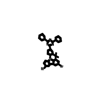 CC1(C)c2cc(-c3nc(-c4ccccc4)nc(-c4ccccc4)n3)ccc2-n2c3ccc(Br)cc3c3cc(Br)cc1c32